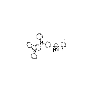 Cc1ccc(C)c(-c2nnc(-c3ccc(N(c4ccccc4)c4ccc5c(c4)c4ccccc4n5-c4ccccc4)cc3)o2)c1